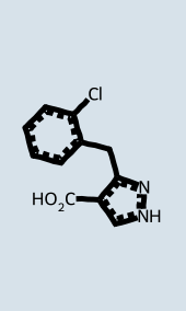 O=C(O)c1c[nH]nc1Cc1ccccc1Cl